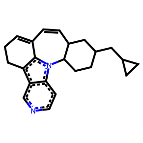 C1=CC2CC(CC3CC3)CCC2n2c3c(c4cnccc42)CCC=C13